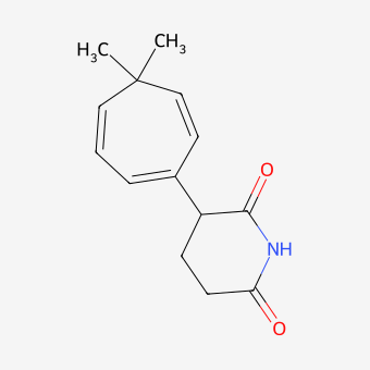 CC1(C)C=CC=C(C2CCC(=O)NC2=O)C=C1